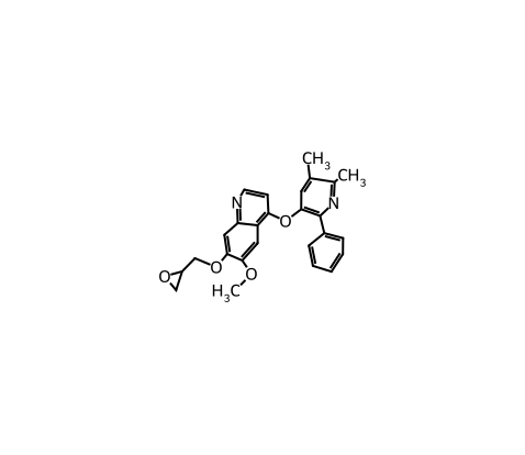 COc1cc2c(Oc3cc(C)c(C)nc3-c3ccccc3)ccnc2cc1OCC1CO1